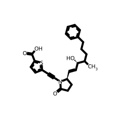 CC(CCCc1ccccc1)[C@@H](O)/C=C/[C@H]1CCC(=O)N1C#Cc1ccc(C(=O)O)s1